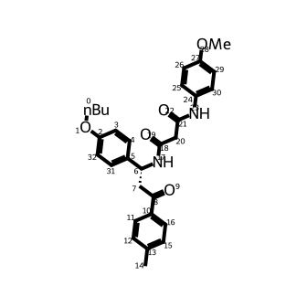 CCCCOc1ccc([C@@H](CC(=O)c2ccc(C)cc2)NC(=O)CC(=O)Nc2ccc(OC)cc2)cc1